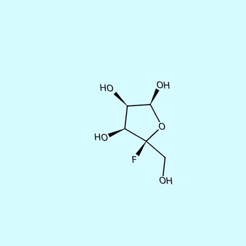 OC[C@@]1(F)O[C@H](O)[C@H](O)[C@@H]1O